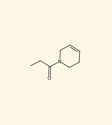 CCC(=O)N1CC=[C]CC1